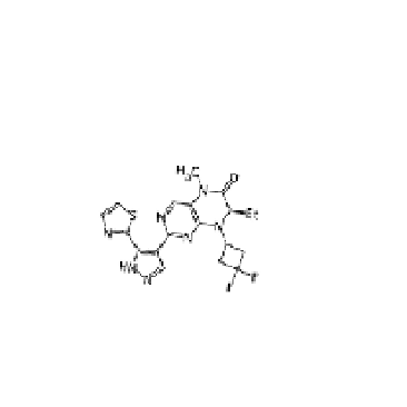 CC[C@@H]1C(=O)N(C)c2cnc(-c3cn[nH]c3-c3nccs3)nc2N1C1CC(F)(F)C1